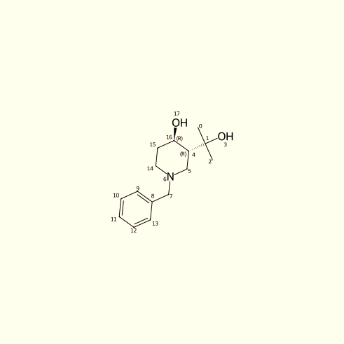 CC(C)(O)[C@@H]1CN(Cc2ccccc2)CC[C@H]1O